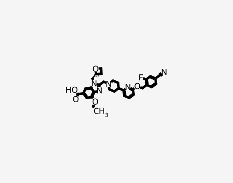 CCOc1cc(C(=O)O)cc2c1nc(CN1CCC(c3cccc(OCc4ccc(C#N)cc4F)n3)CC1)n2C[C@@H]1CCO1